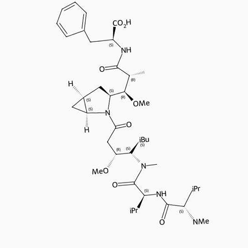 CC[C@H](C)[C@@H]([C@@H](CC(=O)N1[C@H]2C[C@H]2C[C@H]1[C@H](OC)[C@@H](C)C(=O)N[C@@H](Cc1ccccc1)C(=O)O)OC)N(C)C(=O)[C@@H](NC(=O)[C@@H](NC)C(C)C)C(C)C